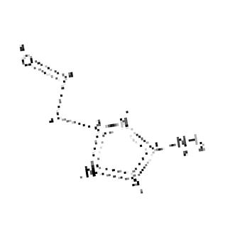 Nc1nc(C[C]=O)ns1